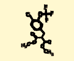 COC(=O)C(Cc1ccc(Cl)c(OC(F)(F)F)c1)C(=O)OC